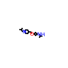 CC(C)CN1CCC(CO[C@H]2C[C@H](NC(C)C)C2)CC1